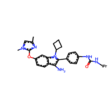 Cc1cn(C)c(Oc2ccc3c(N)c(-c4ccc(NC(=O)NC(C)C)cc4)n(C4CCC4)c3c2)n1